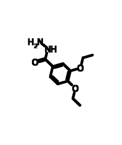 CCOc1ccc(C(=O)NN)cc1OCC